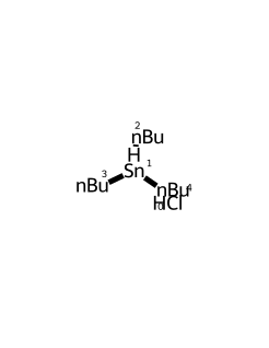 CCC[CH2][SnH]([CH2]CCC)[CH2]CCC.Cl